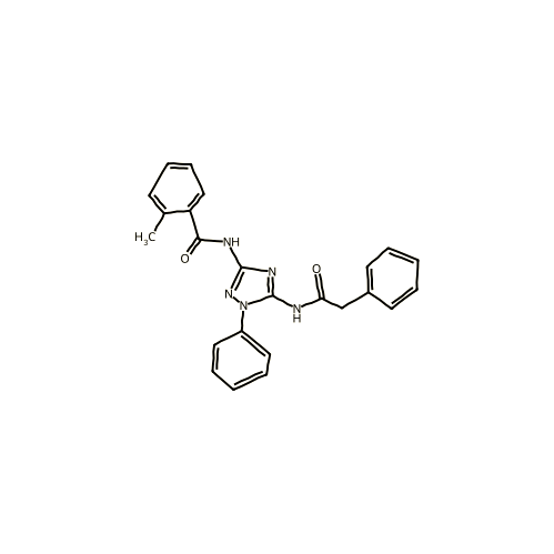 Cc1ccccc1C(=O)Nc1nc(NC(=O)Cc2ccccc2)n(-c2ccccc2)n1